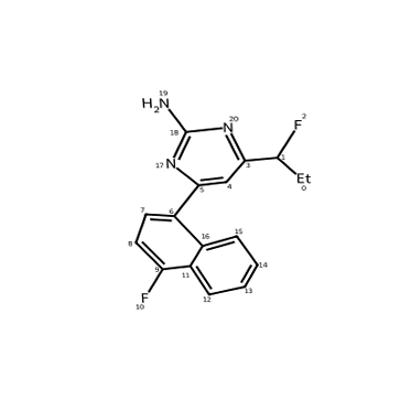 CCC(F)c1cc(-c2ccc(F)c3ccccc23)nc(N)n1